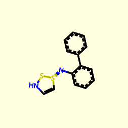 C1=CS(=Nc2ccccc2-c2ccccc2)SN1